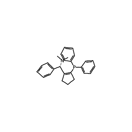 CN(C)[C@H](C1=C(P(c2ccccc2)c2ccccc2)CCC1)c1ccccc1